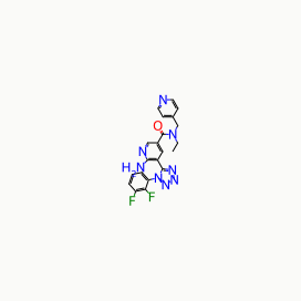 CCN(Cc1ccncc1)C(=O)c1cnc(N)c(-c2nnnn2-c2cccc(F)c2F)c1